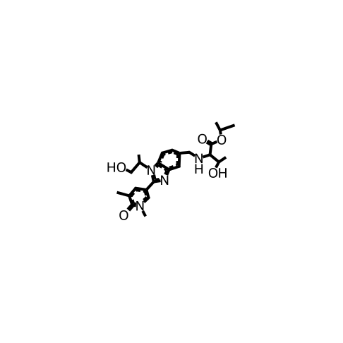 Cc1cc(-c2nc3cc(CNC(C(=O)OC(C)C)C(C)O)ccc3n2C(C)CO)cn(C)c1=O